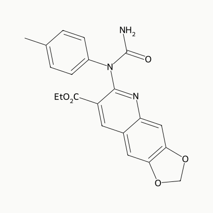 CCOC(=O)c1cc2cc3c(cc2nc1N(C(N)=O)c1ccc(C)cc1)OCO3